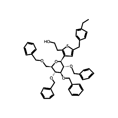 CCc1ccc(Cc2cc([C@@H]3O[C@H](COCc4ccccc4)[C@@H](OCc4ccccc4)[C@H](OCc4ccccc4)[C@H]3OCc3ccccc3)c(CCO)s2)cc1